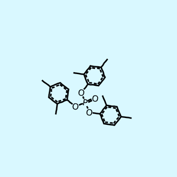 Cc1ccc(OP(=O)(Oc2ccc(C)cc2C)Oc2ccc(C)cc2C)c(C)c1